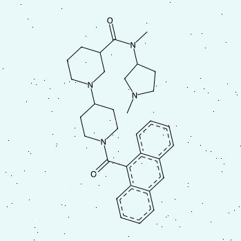 CN1CCC(N(C)C(=O)C2CCCN(C3CCN(C(=O)c4c5ccccc5cc5ccccc45)CC3)C2)C1